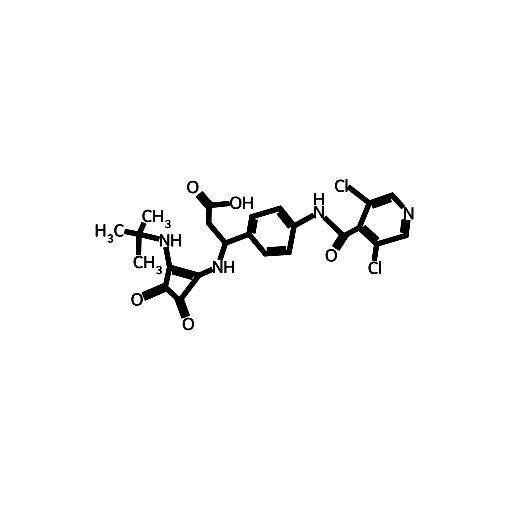 CC(C)(C)Nc1c(NC(CC(=O)O)c2ccc(NC(=O)c3c(Cl)cncc3Cl)cc2)c(=O)c1=O